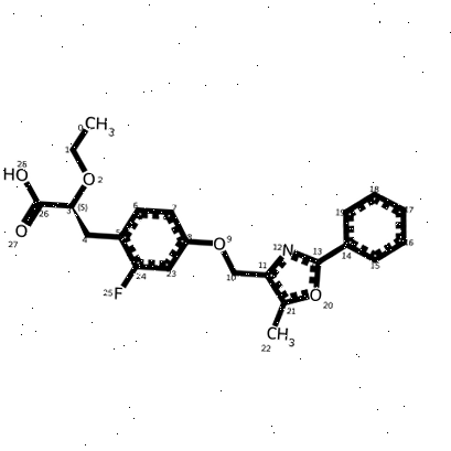 CCO[C@@H](Cc1ccc(OCc2nc(-c3ccccc3)oc2C)cc1F)C(=O)O